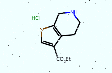 CCOC(=O)c1csc2c1CCNC2.Cl